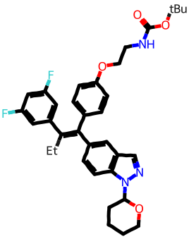 CC/C(=C(/c1ccc(OCCNC(=O)OC(C)(C)C)cc1)c1ccc2c(cnn2C2CCCCO2)c1)c1cc(F)cc(F)c1